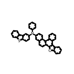 c1ccc(N(c2ccc3c(ccc4c5oc6ccccc6c5c5ccccc5c34)c2)c2ccc3sc4ccccc4c3c2)cc1